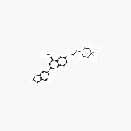 O/N=c1\cc(-c2cc3sccc3cn2)oc2ccc(OCCN3CCC(F)(F)CC3)cc12